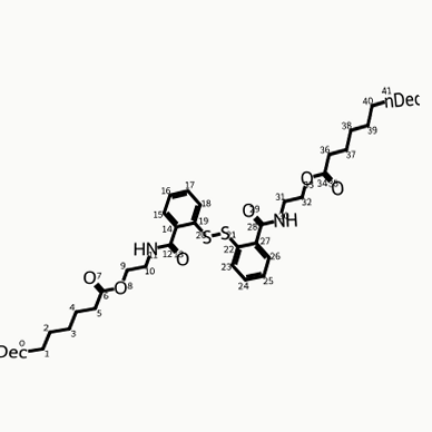 CCCCCCCCCCCCCCCC(=O)OCCNC(=O)c1ccccc1SSc1ccccc1C(=O)NCCOC(=O)CCCCCCCCCCCCCCC